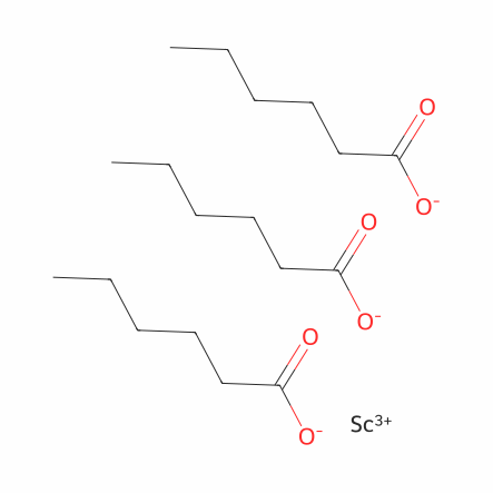 CCCCCC(=O)[O-].CCCCCC(=O)[O-].CCCCCC(=O)[O-].[Sc+3]